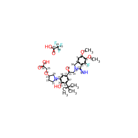 COc1cc2c(c(F)c1OC)C(=N)N(CC(=O)c1cc(N3CCC(OCC(=O)O)C3)c(O)c(C(C)(C)C)c1)C2.O=C(O)C(F)(F)F